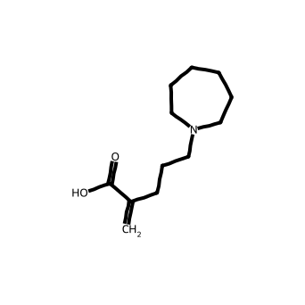 C=C(CCCN1CCCCCC1)C(=O)O